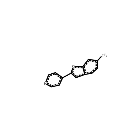 FC(F)(F)c1ccc2cc(-c3ccncc3)oc2c1